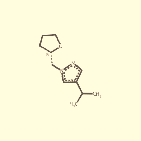 CC(C)c1cnn(C[C@@H]2CCCO2)c1